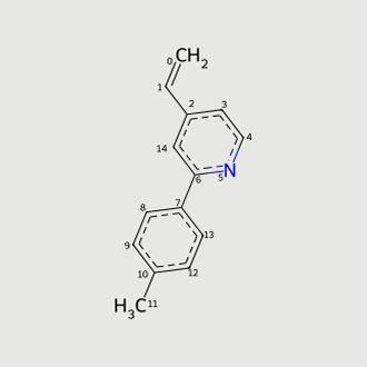 C=Cc1ccnc(-c2ccc(C)cc2)c1